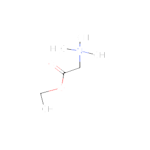 CCOC(=O)C[N+](C)(C)C